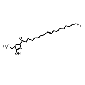 CCCCCCCCC=CCCCCCCCC(=O)C1CN(CC)C(O)=N1